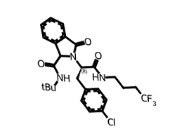 CC(C)(C)NC(=O)C1c2ccccc2C(=O)N1[C@H](Cc1ccc(Cl)cc1)C(=O)NCCCC(F)(F)F